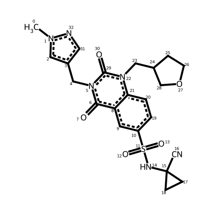 Cn1cc(Cn2c(=O)c3cc(S(=O)(=O)NC4(C#N)CC4)ccc3n(CC3CCOC3)c2=O)cn1